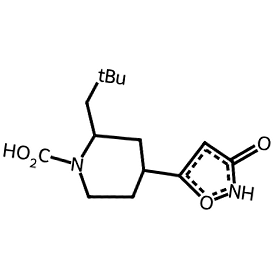 CC(C)(C)CC1CC(c2cc(=O)[nH]o2)CCN1C(=O)O